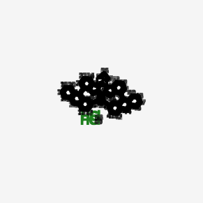 CC(C)CC1=Cc2c(-c3c4ccccc4cc4ccccc34)cccc2[CH]1[Hf]1([CH]2C(CC(C)C)=Cc3c(-c4c5ccccc5cc5ccccc45)cccc32)[CH2]C[CH2]1.Cl.Cl